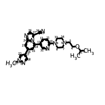 CC(C)OCCN1CCN(c2ccc(-c3cc(-c4cnn(C)c4)cc4ncc(C#N)n34)cn2)CC1